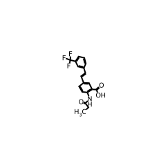 CCC(=O)Nc1ccc(C=Cc2cccc(C(F)(F)F)c2)cc1C(=O)O